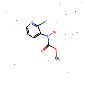 COC(=O)N(O)c1cccnc1Cl